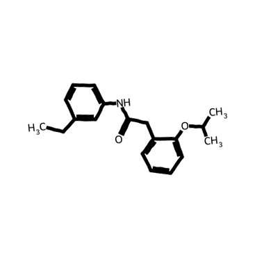 CCc1cccc(NC(=O)Cc2ccccc2OC(C)C)c1